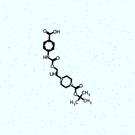 CC(C)(C)OC(=O)N1CCN(CCOC(=O)Nc2ccc(C(=O)O)cc2)CC1.[LiH]